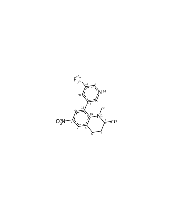 CN1C(=O)CCc2cc([N+](=O)[O-])cc(-c3cncc(C(F)(F)F)c3)c21